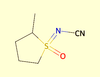 CC1CCCS1(=O)=NC#N